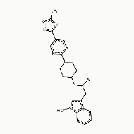 CC(=O)N(Cc1cn(C)c2ccccc12)CC1CCN(c2ncc(-c3noc(C(F)(F)F)n3)cn2)CC1